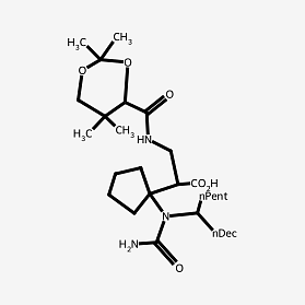 CCCCCCCCCCC(CCCCC)N(C(N)=O)C1(C(CNC(=O)C2OC(C)(C)OCC2(C)C)C(=O)O)CCCC1